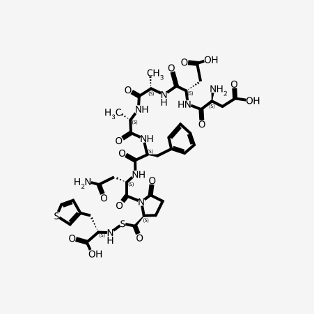 C[C@H](NC(=O)[C@H](C)NC(=O)[C@H](CC(=O)O)NC(=O)[C@@H](N)CC(=O)O)C(=O)N[C@@H](Cc1ccccc1)C(=O)N[C@@H](CC(N)=O)C(=O)N1C(=O)CC[C@H]1C(=O)SN[C@@H](Cc1ccsc1)C(=O)O